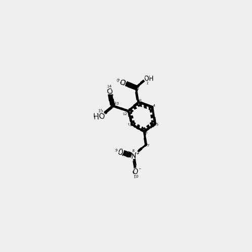 O=C(O)c1ccc(C[N+](=O)[O-])cc1C(=O)O